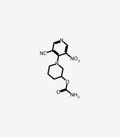 N#Cc1cncc([N+](=O)[O-])c1N1CCCC(OC(N)=O)C1